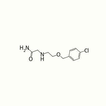 NC(=O)CNCCOCc1ccc(Cl)cc1